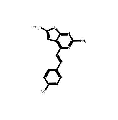 CCOC(=O)c1cc2c(/C=C/c3ccc(C(F)(F)F)cc3)nc(N)nc2s1